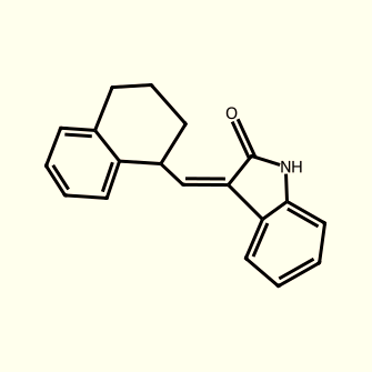 O=C1Nc2ccccc2C1=CC1CCCc2ccccc21